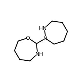 C1CCNN(C2NCCCCO2)CC1